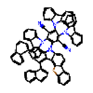 N#Cc1c(-n2c3ccccc3c3ccccc32)c(-n2c3ccccc3c3ccccc32)c(C#N)c(-n2c3cc(-c4cccc5ccccc45)cc(-c4cccc5ccccc45)c3c3c4sc5ccccc5c4ccc32)c1-n1c2ccccc2c2ccccc21